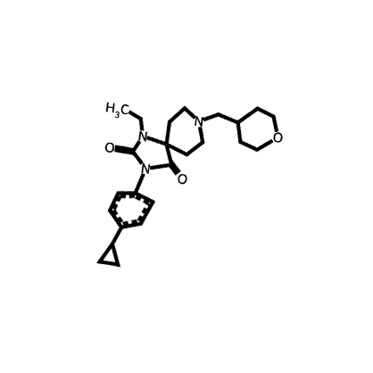 CCN1C(=O)N(c2ccc(C3CC3)cc2)C(=O)C12CCN(CC1CCOCC1)CC2